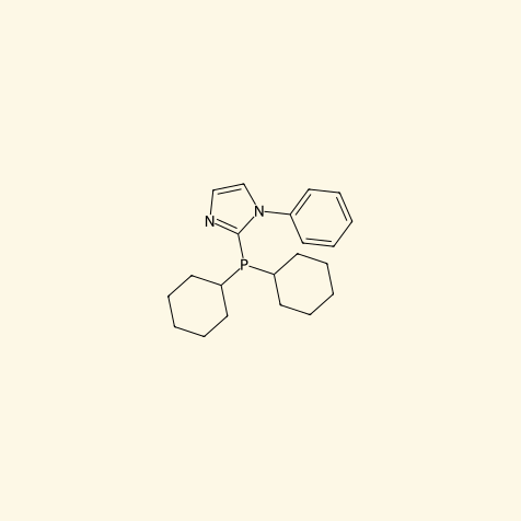 c1ccc(-n2ccnc2P(C2CCCCC2)C2CCCCC2)cc1